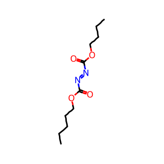 CCCCCOC(=O)/N=N/C(=O)OCCCC